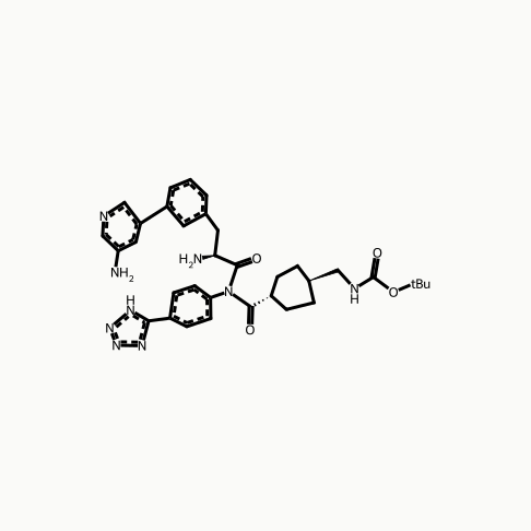 CC(C)(C)OC(=O)NC[C@H]1CC[C@H](C(=O)N(C(=O)[C@@H](N)Cc2cccc(-c3cncc(N)c3)c2)c2ccc(-c3nnn[nH]3)cc2)CC1